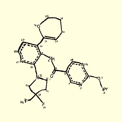 CC(C)Oc1ncc(C(=O)Nc2c(C3=CCCCO3)ccnc2N2CCC(F)(F)C2)cn1